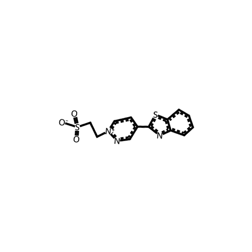 O=S(=O)([O-])CC[n+]1ccc(-c2nc3ccccc3s2)cn1